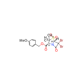 COc1ccc(COC(=O)[C@@H]2N3C(=O)C(Br)(Br)[C@H]3S(=O)(=O)C2(C)C)cc1